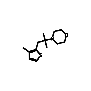 Cc1ccsc1CC(C)(C)N1CCOCC1